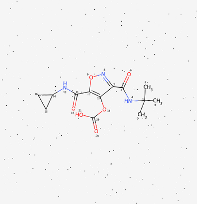 CC(C)(C)NC(=O)c1noc(C(=O)NC2CC2)c1OC(=O)O